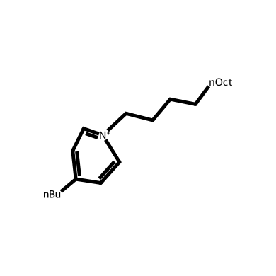 CCCCCCCCCCCC[n+]1ccc(CCCC)cc1